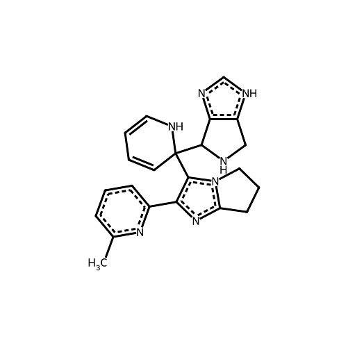 Cc1cccc(-c2nc3n(c2C2(C4NCc5[nH]cnc54)C=CC=CN2)CCC3)n1